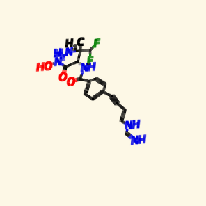 CC(N)(C(F)F)[C@H](NC(=O)c1ccc(C#C/C=C/NC=N)cc1)C(=O)NO